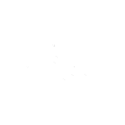 COc1ccc2c(N)nn(-c3ccnc(N4CCN(C(=O)O)C[C@@H]4C)c3)c2c1